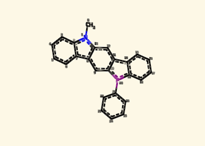 Cn1c2ccccc2c2cc3c(cc21)c1ccccc1p3-c1ccccc1